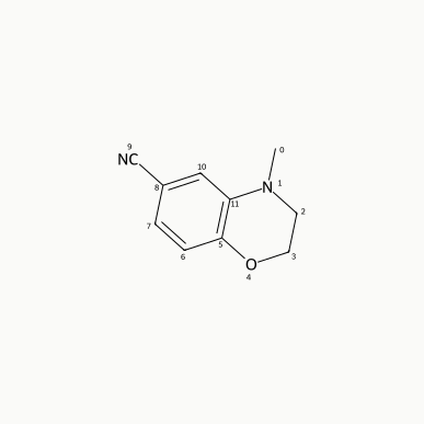 CN1CCOc2ccc(C#N)cc21